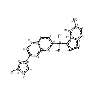 CCc1ccc2nnc(C(F)(F)c3ccc4ncc(-c5cnn(C)c5)cc4c3)n2n1